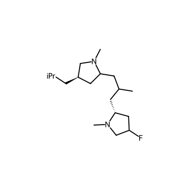 CC(C)C[C@@H]1CC(CC(C)C[C@@H]2CC(F)CN2C)N(C)C1